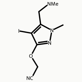 CNCc1c(I)c(OCC#N)nn1C